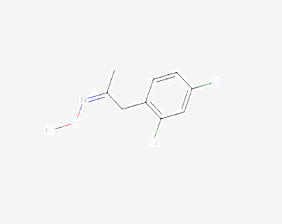 CCO/N=C(/C)Cc1ccc(Cl)cc1Cl